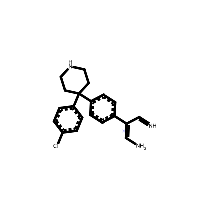 N=C/C(=C\N)c1ccc(C2(c3ccc(Cl)cc3)CCNCC2)cc1